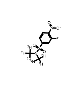 [2H]C([2H])([2H])N(C([2H])([2H])[2H])S(=O)(=O)c1ccc([N+](=O)[O-])c(F)c1